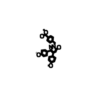 COC(=O)c1ccc(Cn2nc(-c3ccc(OC)cc3)c(-c3ccc(OC)cc3)cc2=O)cc1